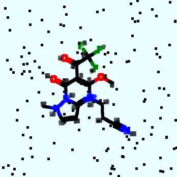 COc1c(C(=O)C(F)(F)F)c(=O)n2c(ccn2C)[n+]1CCC#N